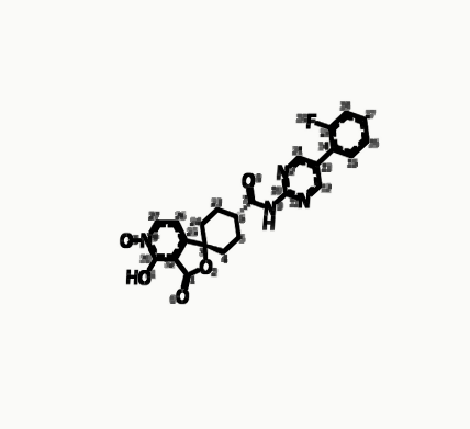 O=C1O[C@]2(CC[C@@H](C(=O)Nc3ncc(-c4ccccc4F)cn3)CC2)c2cc[n+]([O-])c(O)c21